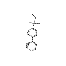 CCC(C)(C)c1ccc(-c2c#cccc2)nc1